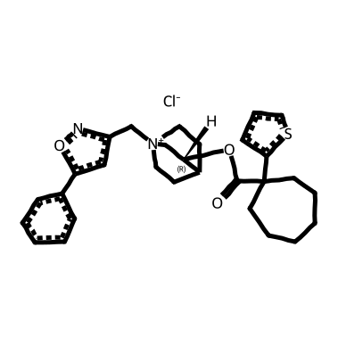 O=C(O[C@H]1C[N+]2(Cc3cc(-c4ccccc4)on3)CCC1CC2)C1(c2cccs2)CCCCCC1.[Cl-]